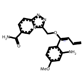 C=C/C=C(/OCc1nnc2ccc(C(N)=O)cn12)c1ccc(OC)cc1N